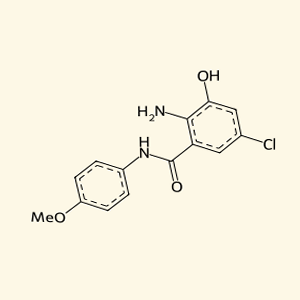 COc1ccc(NC(=O)c2cc(Cl)cc(O)c2N)cc1